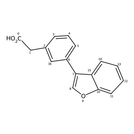 O=C(O)Cc1cccc(-c2coc3ccccc23)c1